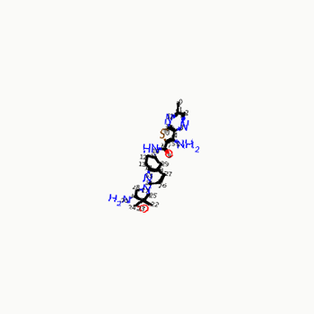 Cc1cnc2c(N)c(C(=O)N[C@H]3CCc4nc(N5C[C@@H](N)C6(COC6)C5)ccc4C3)sc2n1